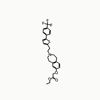 CCOC(=O)COc1ccc2c(c1)CCN(CCc1ccc(-c3ccc(C(F)(F)F)cc3)s1)CC2